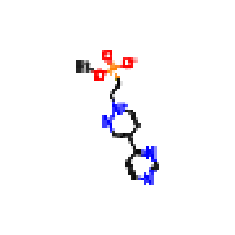 CCOP(=O)([O-])CC[n+]1ccc(-c2ccncn2)cn1